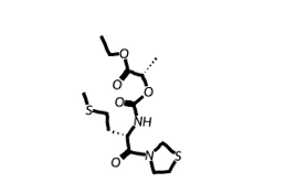 CCOC(=O)[C@H](C)OC(=O)N[C@@H](CCSC)C(=O)N1CCSC1